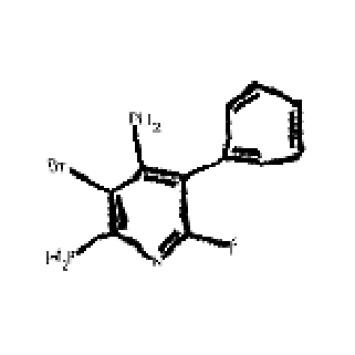 Fc1nc(P)c(Br)c(P)c1-c1ccccc1